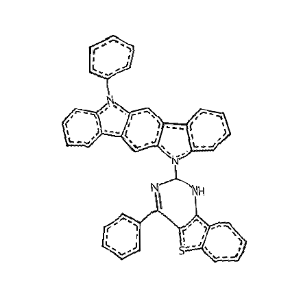 c1ccc(C2=NC(n3c4ccccc4c4cc5c(cc43)c3ccccc3n5-c3ccccc3)Nc3c2sc2ccccc32)cc1